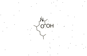 CC(C)CCCC(C)CCN(C)C(C)C(=O)O